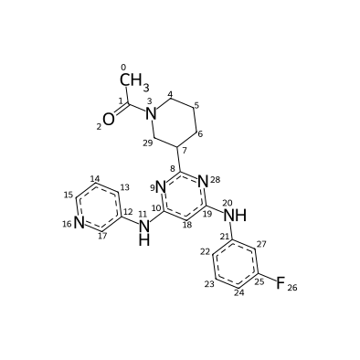 CC(=O)N1CCCC(c2nc(Nc3cccnc3)cc(Nc3cccc(F)c3)n2)C1